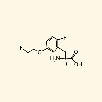 CC(N)(Cc1cc(OCCF)ccc1F)C(=O)O